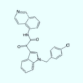 O=C(Nc1cccc2cnccc12)C(=O)c1cn(Cc2ccc(Cl)cc2)c2ccccc12